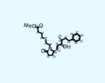 COC(=O)CCCSCCN1C(=O)CC[C@@H]1/C=C/[C@@H](O)[C@@H](C)CCc1ccccc1